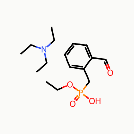 CCN(CC)CC.CCOP(=O)(O)Cc1ccccc1C=O